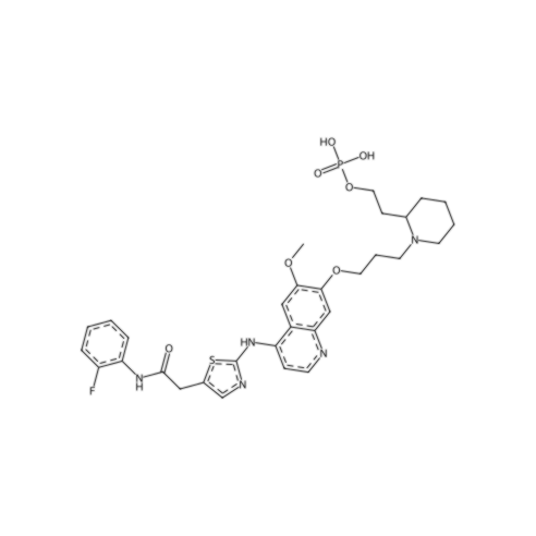 COc1cc2c(Nc3ncc(CC(=O)Nc4ccccc4F)s3)ccnc2cc1OCCCN1CCCCC1CCOP(=O)(O)O